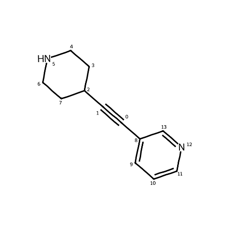 C(#CC1CCNCC1)c1cccnc1